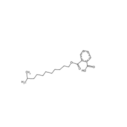 CC(C)CCCCCCCCCOC(=O)c1ccccc1C(=O)O